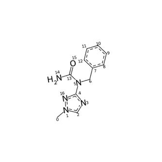 Cn1cnc(N(Cc2ccccc2)C(N)=O)n1